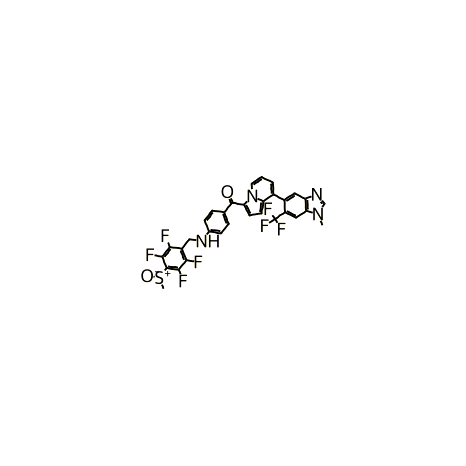 Cn1cnc2cc(-c3cccn4c(C(=O)c5ccc(NCc6c(F)c(F)c([S+](C)[O-])c(F)c6F)cc5)ccc34)c(C(F)(F)F)cc21